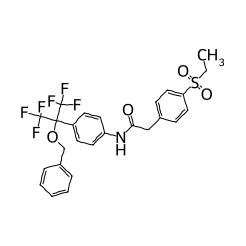 CCS(=O)(=O)c1ccc(CC(=O)Nc2ccc(C(OCc3ccccc3)(C(F)(F)F)C(F)(F)F)cc2)cc1